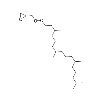 CC(C)CCCC(C)CCCC(C)CCCC(C)CCOOCC1CO1